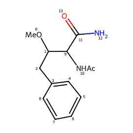 COC(Cc1ccccc1)C(NC(C)=O)C(N)=O